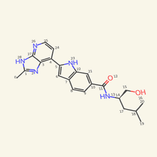 Cc1nc2c(-c3cc4ccc(C(=O)N[C@@H](CO)CC(C)C)cc4[nH]3)ccnc2[nH]1